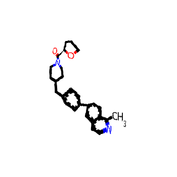 Cc1nccc2cc(-c3ccc(CC4CCN(C(=O)[C@H]5CCCO5)CC4)cc3)ccc12